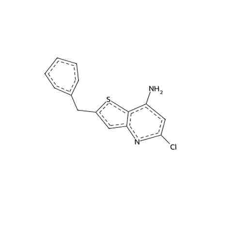 Nc1cc(Cl)nc2cc(Cc3ccccc3)sc12